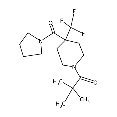 CC(C)(C)C(=O)N1CCC(C(=O)N2CCCC2)(C(F)(F)F)CC1